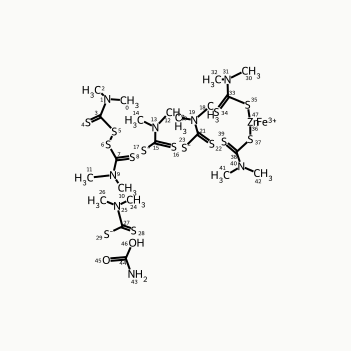 CN(C)C(=S)SSC(=S)N(C)C.CN(C)C(=S)[S-].CN(C)C(=S)[S-].CN(C)C(=S)[S-].CN(C)C(=S)[S][Zn][S]C(=S)N(C)C.NC(=O)O.[Fe+3]